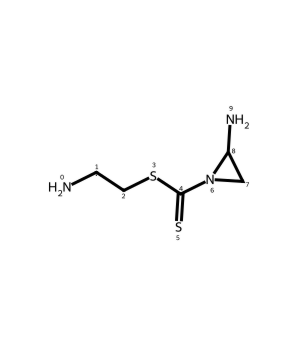 N[CH]CSC(=S)N1CC1N